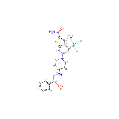 NC(=O)c1sc2nc(N3CCC(NCC(O)c4ccccc4)CC3)cc(C(F)(F)F)c2c1N